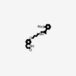 CSc1ccccc1C1CC1CNCCCCOc1ccc2c(c1)NC(=O)CC2